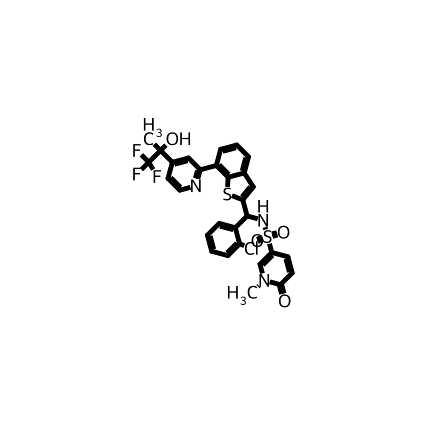 Cn1cc(S(=O)(=O)NC(c2cc3cccc(-c4cc(C(C)(O)C(F)(F)F)ccn4)c3s2)c2ccccc2Cl)ccc1=O